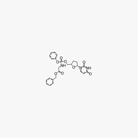 O=C(CN[P@](=O)(OCC1CCC(n2ccc(=O)[nH]c2=O)O1)Oc1ccccc1)OCc1ccccc1